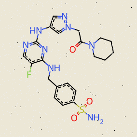 NS(=O)(=O)c1ccc(CNc2nc(Nc3cnn(CC(=O)N4CCCCC4)c3)ncc2F)cc1